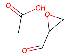 CC(=O)O.O=CC1CO1